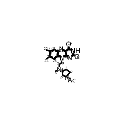 CC(=O)[C@H]1CC[C@@H](N(C)CCn2c3nc(=O)[nH]c(=O)c-3nc3cc(C)c(C)cc32)C1